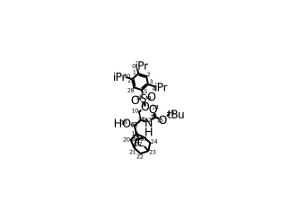 CC(C)c1cc(C(C)C)c(S(=O)(=O)OC[C@@H](NC(=O)OC(C)(C)C)[C@@H](O)C23CC4CC(CC2C4)C3)cc1C(C)C